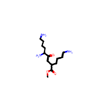 COC(=O)C(CCCCN)CC(=O)C(N)CCCCN